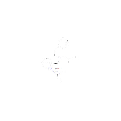 CC(C)CC1C2CNC3(C(N)=O)C(C2)C(Cc2ccccc2)N(CC(C)C)C13